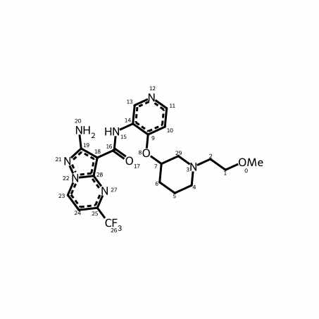 COCCN1CCCC(Oc2ccncc2NC(=O)c2c(N)nn3ccc(C(F)(F)F)nc23)C1